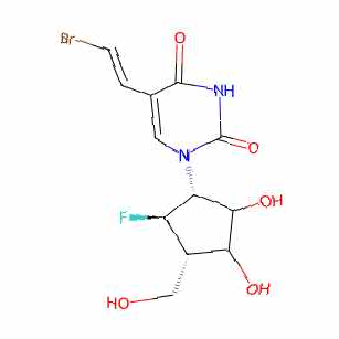 O=c1[nH]c(=O)n([C@@H]2C(O)C(O)[C@H](CO)[C@H]2F)cc1/C=C/Br